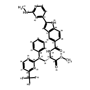 CNc1nccc(-c2cc3cc(C(=O)N[C@@H](CN(c4ccccc4)c4nccc(C(F)(F)F)n4)C(=O)OC)ccc3[nH]2)n1